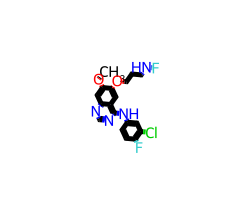 COc1cc2ncnc(Nc3ccc(F)c(Cl)c3)c2cc1OCCCNF